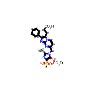 CCCCc1nc(S(C)(=O)=O)c(OC(=O)OCC)n1Cc1ccn2c(CCC(=O)O)c(-c3ccccc3)nc2n1